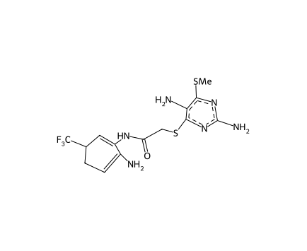 CSc1nc(N)nc(SCC(=O)NC2=CC(C(F)(F)F)CC=C2N)c1N